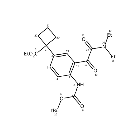 CCOC(=O)C1(c2ccc(NC(=O)OC(C)(C)C)c(C(=O)C(=O)N(CC)CC)c2)CCC1